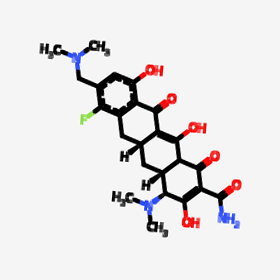 CN(C)Cc1cc(O)c2c(c1F)C[C@H]1C[C@@H]3C(C(=O)C(C(N)=O)=C(O)[C@H]3N(C)C)C(O)=C1C2=O